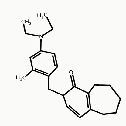 CCN(CC)c1ccc(CC2C=CC3=C(CCCCC3)C2=O)c(C)c1